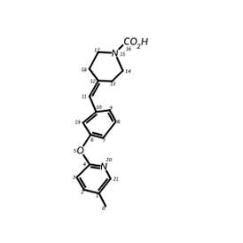 Cc1ccc(Oc2cccc(C=C3CCN(C(=O)O)CC3)c2)nc1